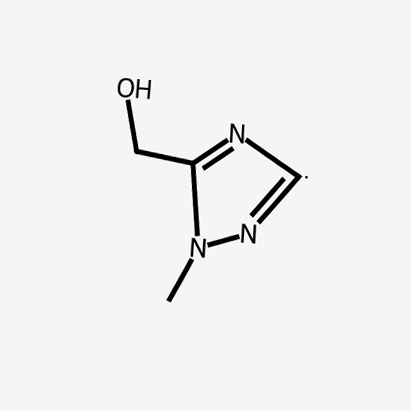 Cn1n[c]nc1CO